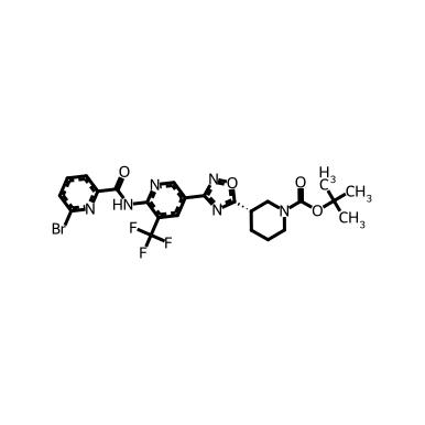 CC(C)(C)OC(=O)N1CCC[C@H](c2nc(-c3cnc(NC(=O)c4cccc(Br)n4)c(C(F)(F)F)c3)no2)C1